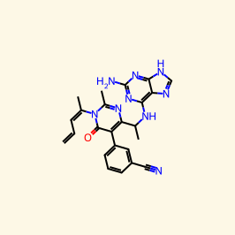 C=C/C=C(/C)n1c(C)nc(C(C)Nc2nc(N)nc3[nH]cnc23)c(-c2cccc(C#N)c2)c1=O